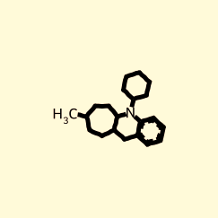 CC1CCC2Cc3ccccc3N(C3CCCCC3)C2CC1